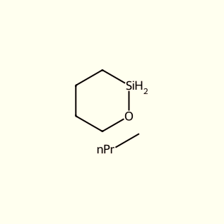 C1CC[SiH2]OC1.CCCC